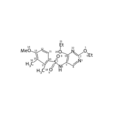 CCOc1ncc(NS(=O)(=O)c2ccc(OC)c(C)c2C)c(OCC)n1